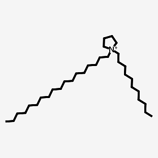 CCCCCCCCCCCCCCCCCC[N+]1(CCCCCCCCCCC)CCCC1